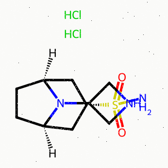 Cl.Cl.NS(=O)(=O)[C@@H]1C[C@H]2CC[C@@H](C1)N2C1CNC1